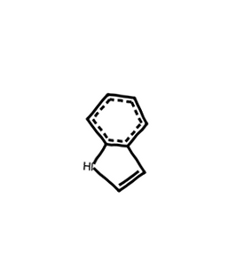 C1=Cc2ccccc2[IH]1